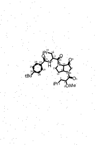 COC(CC(C)C)C(=O)N1CC(=O)C2C1CCN2C(=O)C(CC(C)C)NC(=O)c1ccc(C(C)(C)C)cc1